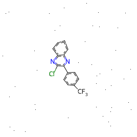 FC(F)(F)c1ccc(-c2nc3ccccc3nc2Cl)cc1